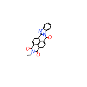 CCN1C(=O)c2ccc3c(=O)n4c5ccccc5nc4c4ccc(c2c34)C1=O